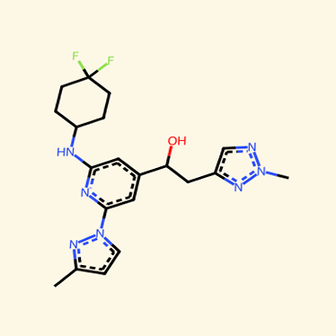 Cc1ccn(-c2cc(C(O)Cc3cnn(C)n3)cc(NC3CCC(F)(F)CC3)n2)n1